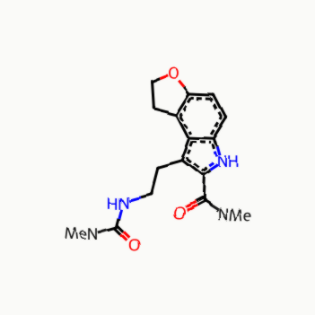 CNC(=O)NCCc1c(C(=O)NC)[nH]c2ccc3c(c12)CCO3